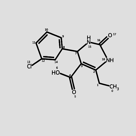 CCC1=C(C(=O)O)C(c2cccc(Cl)c2)NC(=O)N1